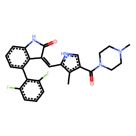 Cc1c(C(=O)N2CCN(C)CC2)c[nH]c1/C=C1\C(=O)Nc2cccc(-c3c(F)cccc3F)c21